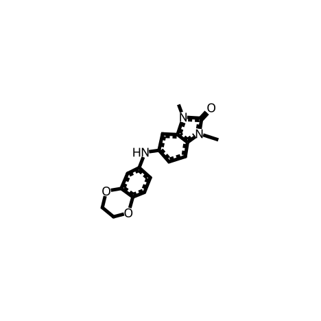 Cn1c(=O)n(C)c2cc(Nc3ccc4c(c3)OCCO4)ccc21